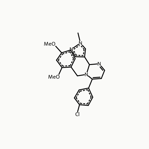 COc1ccc(CN2C(c3ccc(Cl)cc3)=CC=NC2c2cnn(C)c2)c(OC)c1